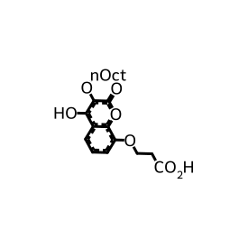 CCCCCCCCOc1c(O)c2cccc(OCCC(=O)O)c2oc1=O